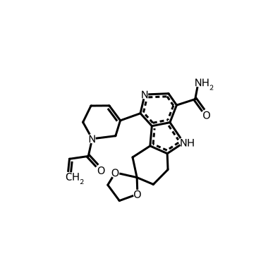 C=CC(=O)N1CCC=C(c2ncc(C(N)=O)c3[nH]c4c(c23)CC2(CC4)OCCO2)C1